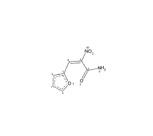 NC(=O)C(=Cc1ccco1)[N+](=O)[O-]